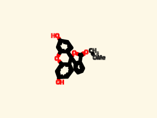 COC.O=C1OC2(c3ccc(O)cc3Oc3cc(O)ccc32)c2ccccc21